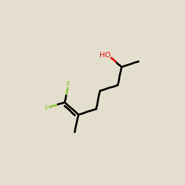 CC(CCCC(C)O)=C(F)F